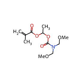 C=C(C)C(=O)OC(C)OC(=O)N(COC)COC